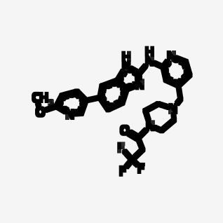 COc1ccc(-c2ccc3nc(Nc4cc(CN5CCN(C(=O)CC(F)(F)F)CC5)ccn4)[nH]c3c2)cn1